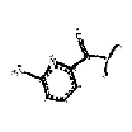 CN(C)C(=O)c1cccc(N)n1